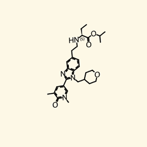 CC[C@H](NCCc1ccc2c(c1)nc(-c1cc(C)c(=O)n(C)c1)n2CC1CCOCC1)C(=O)OC(C)C